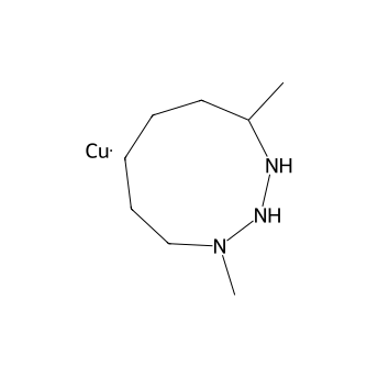 CC1CCCCCN(C)NN1.[Cu]